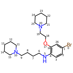 Brc1ccc(NCCCCN2CCCCC2)c(OCCN2CCCCC2)c1